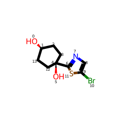 O[C@H]1CC[C@](O)(c2ncc(Br)s2)CC1